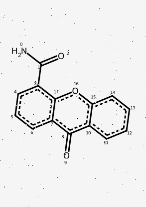 NC(=O)c1cccc2c(=O)c3ccccc3oc12